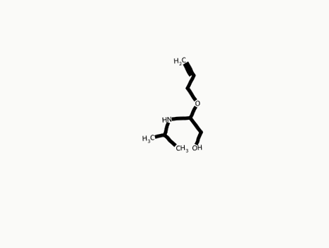 C=CCOC(CO)NC(C)C